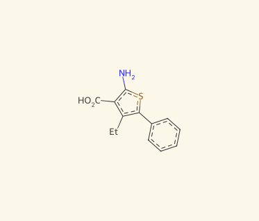 CCc1c(-c2ccccc2)sc(N)c1C(=O)O